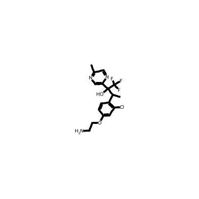 Cc1cnc(C(O)(C(C)c2ccc(OCCN)cc2Cl)C(F)(F)F)cn1